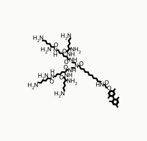 Cc1cc(C)c(-c2cc(C)c(OCC(=O)NCCCCCCCCCCC(=O)N(CCNC(=O)C(CCCCNC(=O)C(N)CCCCN)NC(=O)C(N)CCCCN)CCNC(=O)C(CCCCNC(=O)C(N)CCCCN)NC(=O)C(N)CCCCN)cc2C)c(C)c1